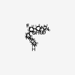 Cn1ccn(-c2ccc(-c3cc(F)cc(-c4ccnc(N5CC6CCNC6C5)c4)c3O)cc2Cl)c1=O